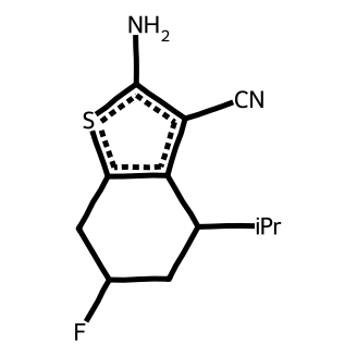 CC(C)C1CC(F)Cc2sc(N)c(C#N)c21